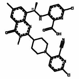 Cc1cc([C@@H](C)Nc2ccc(Cl)nc2C(=O)O)c2nc(C3CCN(c4ccc(Cl)nc4C#N)CC3)n(C)c(=O)c2c1